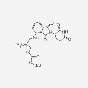 C[C@H](CNC(=O)OC(C)(C)C)CNc1cccc2c1C(=O)N(C1CCC(=O)NC1=O)C2=O